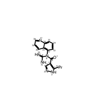 CC(C)c1[nH]ncc1C(=O)N(C(=N)N)c1cccc2ncccc12